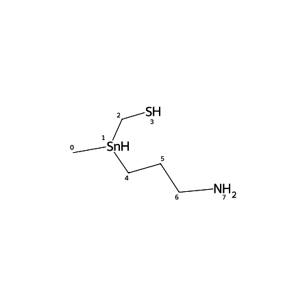 [CH3][SnH]([CH2]S)[CH2]CCN